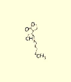 CCCCCCCC(CC)C1CCOC1=O